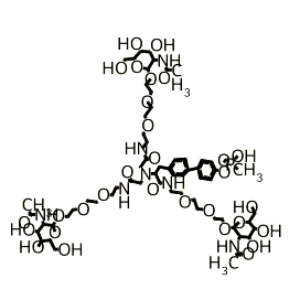 CC(=O)NC1C(OCCOCCOCCNC(=O)CN(CC(=O)NCCOCCOCCOC2OC(CO)C(O)C(O)C2NC(C)=O)C(Cc2ccc(-c3ccc(OP(C)(=O)O)cc3)cc2)C(=O)NCCOCCOCCOC2OC(CO)C(O)C(O)C2NC(C)=O)OC(CO)C(O)C1O